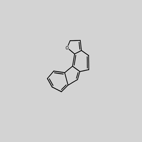 C1=c2ccc3c(c2OC1)-c1ccccc1C=3